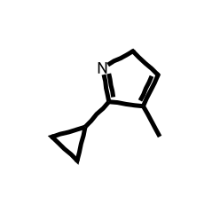 CC1=CCN=C1C1CC1